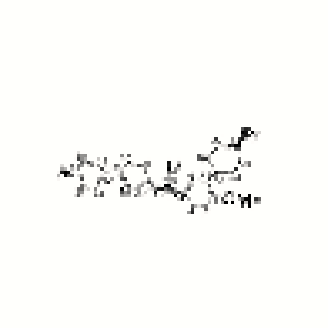 COc1ccc(NC(=O)c2ccc(-c3ccc(F)cc3)cc2)cc1C1CCN(C(C)C)CC1